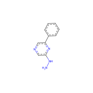 NNc1cncc(-c2ccccc2)n1